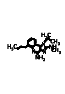 CCCCc1cccc2c1nc(N)c1nc(NC)n(CC(C)C)c12